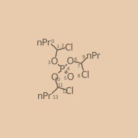 CCCC(Cl)OP(=O)(OC(Cl)CCC)OC(Cl)CCC